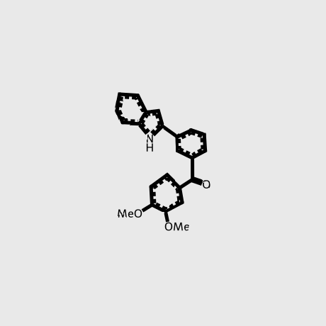 COc1ccc(C(=O)c2cccc(-c3cc4ccccc4[nH]3)c2)cc1OC